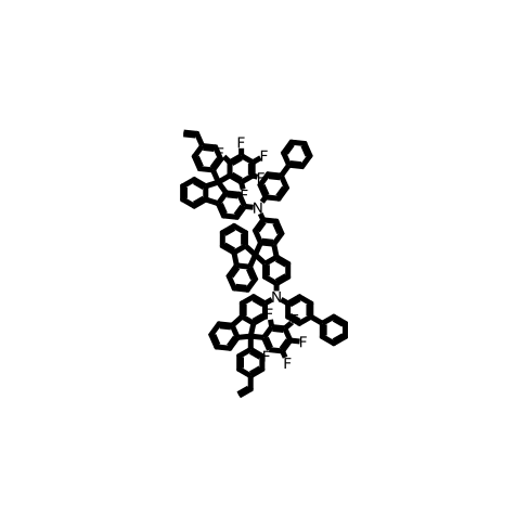 C=Cc1ccc(C2(c3c(F)c(F)c(F)c(F)c3F)c3ccccc3-c3ccc(N(c4ccc(-c5ccccc5)cc4)c4ccc5c(c4)C4(c6ccccc6-c6ccccc64)c4cc(N(c6ccc(-c7ccccc7)cc6)c6ccc7c(c6)C(c6ccc(C=C)cc6)(c6c(F)c(F)c(F)c(F)c6F)c6ccccc6-7)ccc4-5)cc32)cc1